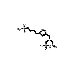 C[Si](C)(C)CCCCn1cc(CN(CP=O)CP(=O)(O)O)nn1